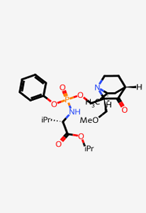 COC[C@]1(COP(=O)(N[C@H](C(=O)OC(C)C)C(C)C)Oc2ccccc2)C(=O)[C@H]2CCN1[C@H](C)C2